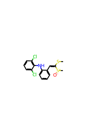 CSC(=Cc1ccccc1Nc1c(Cl)cccc1Cl)[S+](C)[O-]